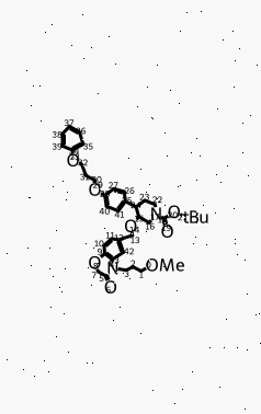 COCCCN1C(=O)COc2ccc(COC3CN(C(=O)OC(C)(C)C)CCC3c3ccc(OCCCOc4ccccc4)cc3)cc21